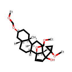 CCOCO[C@H]1CC[C@@]2(C)[C@H](CC[C@@H]3[C@@H]2CC[C@]2(C)C(O)(C4(OCC)CC4)C=C[C@]32OCOCC)C1